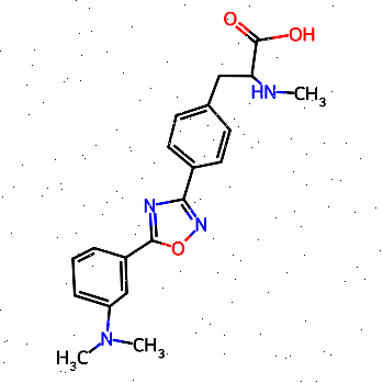 CNC(Cc1ccc(-c2noc(-c3cccc(N(C)C)c3)n2)cc1)C(=O)O